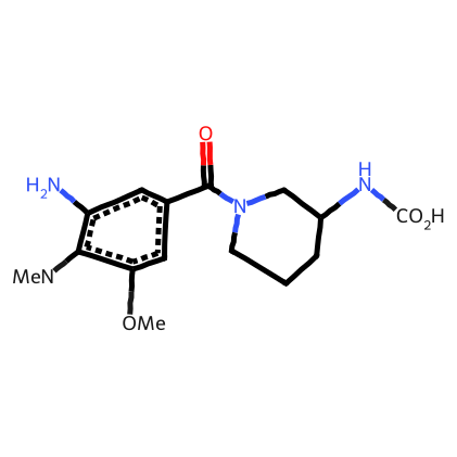 CNc1c(N)cc(C(=O)N2CCCC(NC(=O)O)C2)cc1OC